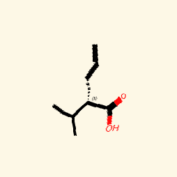 C=CC[C@H](C(=O)O)C(C)C